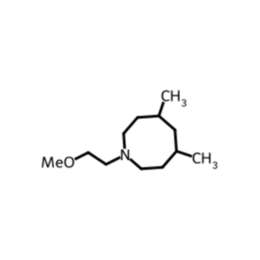 COCCN1CCC(C)CC(C)CC1